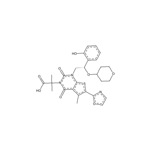 Cc1c(-c2ncco2)sc2c1c(=O)n(C(C)(C)C(=O)O)c(=O)n2C[C@@H](OC1CCOCC1)c1ccccc1O